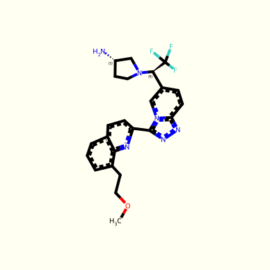 COCCc1cccc2ccc(-c3nnc4ccc([C@@H](N5CC[C@H](N)C5)C(F)(F)F)cn34)nc12